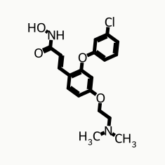 CN(C)CCOc1ccc(C=CC(=O)NO)c(Oc2cccc(Cl)c2)c1